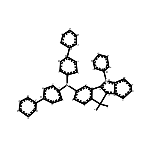 CC1(C)c2ccc(N(c3ccc(-c4ccccc4)cc3)c3ccc(-c4ccccc4)cc3)cc2-c2c1c1ccccc1n2-c1ccccc1